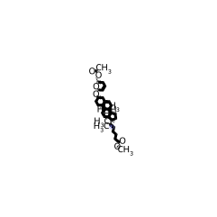 COC(=O)CCC/C=C(\C)[C@H]1CC[C@H]2[C@@H]3CC=C4C[C@@H](OC5C=CC[C@@H](COC(C)=O)O5)CC[C@]4(C)[C@H]3CC[C@]12C